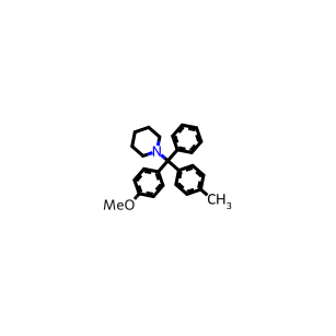 COc1ccc(C(c2ccccc2)(c2ccc(C)cc2)N2CCCCC2)cc1